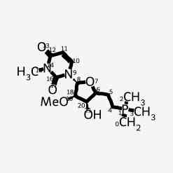 C=P(C)(C)CCC1O[C@@H](n2ccc(=O)n(C)c2=O)[C@H](OC)[C@@H]1O